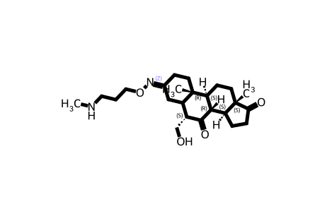 CNCCCO/N=C1/CC[C@@]2(C)C(C1)[C@@H](CO)C(=O)[C@@H]1[C@@H]2CC[C@]2(C)C(=O)CC[C@@H]12